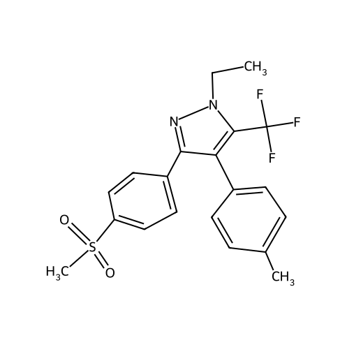 CCn1nc(-c2ccc(S(C)(=O)=O)cc2)c(-c2ccc(C)cc2)c1C(F)(F)F